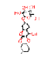 C[C@H]1CC[C@H](Oc2c(O)c3ccc(O[C@@H]4O[C@H](CO)[C@@H](O)[C@H](O)[C@H]4O)cc3oc2=O)CC1